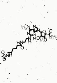 CS(=O)(=O)NCCCCCC(=O)NCCNc1nc(N)c2ncn([C@@H]3O[C@H](C(N)=O)[C@@H](O)[C@H]3O)c2n1